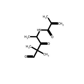 C=C(C)C(=O)NC(C)C(=O)C(C)(C)[C]=O